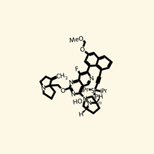 C=C1CCN2CCCC12COc1nc(N2C[C@H]3CC[C@@H](C2)N3C(=O)O)c2cnc(-c3cc(OCOC)cc4cccc(C#C[Si](C(C)C)(C(C)C)C(C)C)c34)c(F)c2n1